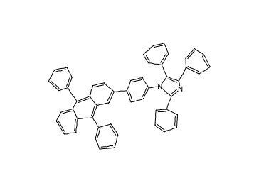 c1ccc(-c2nc(-c3ccccc3)n(-c3ccc(-c4ccc5c(-c6ccccc6)c6ccccc6c(-c6ccccc6)c5c4)cc3)c2-c2ccccc2)cc1